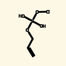 C=CCO[Si](O)(O)OCl